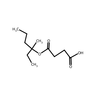 CCCC(C)(CC)OC(=O)CCC(=O)O